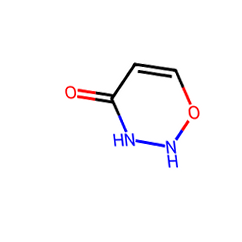 O=C1C=CONN1